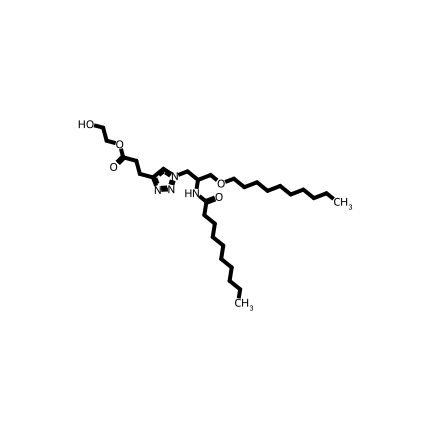 CCCCCCCCCCOCC(Cn1cc(CCC(=O)OCCO)nn1)NC(=O)CCCCCCCCC